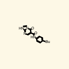 CCC(C)c1ccc(NC(=O)c2cnc3[nH]ccn3c2=O)cc1